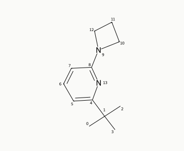 CC(C)(C)c1cccc(N2CCC2)n1